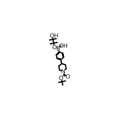 CC(C)(C)OC(=O)N1CCC(c2ccc(B(O)OC(C)(C)C(C)(C)O)cc2)CC1